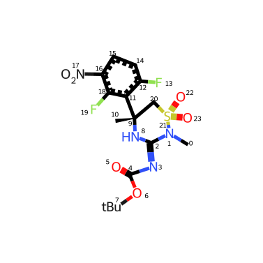 CN1/C(=N/C(=O)OC(C)(C)C)N[C@](C)(c2c(F)ccc([N+](=O)[O-])c2F)CS1(=O)=O